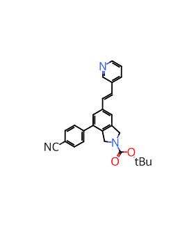 CC(C)(C)OC(=O)N1Cc2cc(C=Cc3cccnc3)cc(-c3ccc(C#N)cc3)c2C1